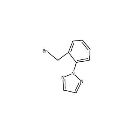 BrCc1ccccc1-n1nccn1